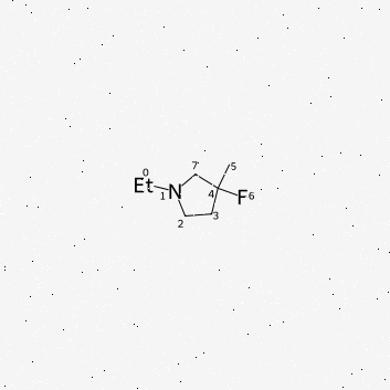 [CH2]CN1CCC(C)(F)C1